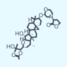 CC(=O)O[C@@H]([C@H]1C[C@@H](C)C2[C@H](O1)[C@H](O)[C@@]1(C)[C@@H]3CC[C@H]4C(C)(C)[C@@H](O[C@H]5CN(C6CCOC6=O)CCO5)CC[C@@]45C[C@@]35CC[C@]21C)C(C)(C)O